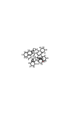 COC1=CC(C(=O)C2=Cc3cccc4cccc2c34)(C(c2ccccc2)c2ccccc2)C(=N)C(C(c2ccccc2)c2ccccc2)=C1